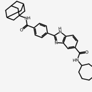 O=C(NC1CCCCCC1)c1ccc2[nH]c(-c3ccc(C(=O)NC45CC6CC(CC(C6)C4)C5)cc3)nc2c1